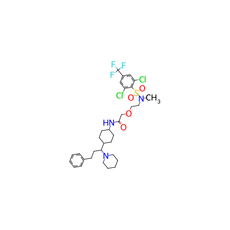 CN(CCOCC(=O)NC1CCC(C(CCc2ccccc2)N2CCCCC2)CC1)S(=O)(=O)c1c(Cl)cc(C(F)(F)F)cc1Cl